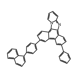 c1ccc(-c2ccc3c(c2)c2cc(-c4ccc(-c5cccc6ccccc56)cc4)ccc2c2c3nc3ccccn32)cc1